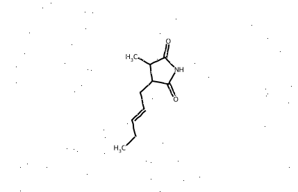 CCC=CCC1C(=O)NC(=O)C1C